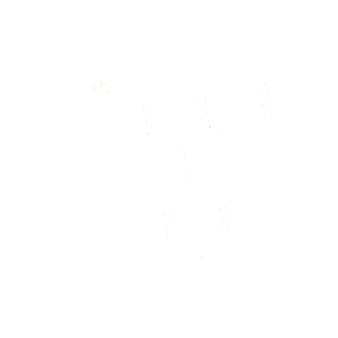 Sc1cc(-c2ccccc2)c2ccccc2c1